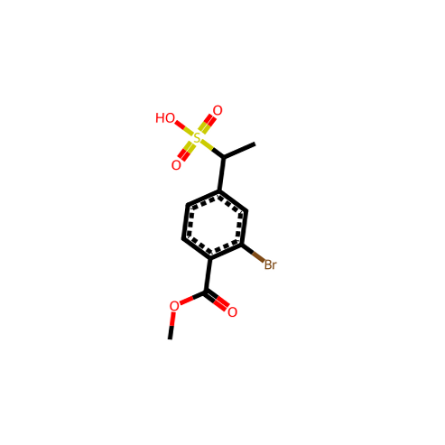 COC(=O)c1ccc(C(C)S(=O)(=O)O)cc1Br